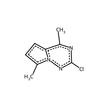 Cc1nc(Cl)nn2c(C)ccc12